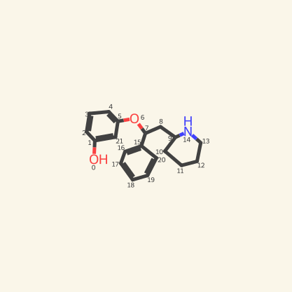 Oc1cccc(OC(CC2CCCCN2)c2ccccc2)c1